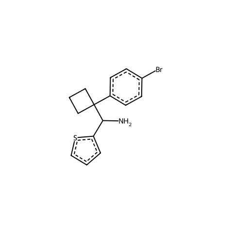 NC(c1cccs1)C1(c2ccc(Br)cc2)CCC1